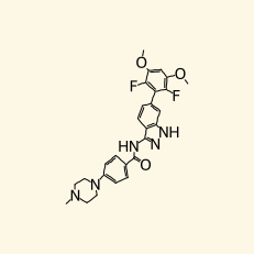 COc1cc(OC)c(F)c(-c2ccc3c(NC(=O)c4ccc(N5CCN(C)CC5)cc4)n[nH]c3c2)c1F